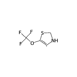 FC(F)(F)OC1=[C]NCS1